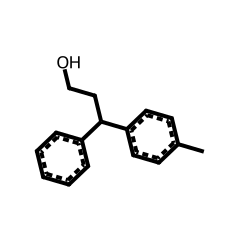 Cc1ccc(C(CCO)c2ccccc2)cc1